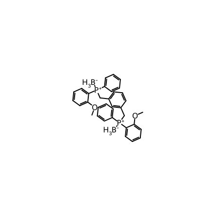 [BH3-][P+](Cc1cccc(C[P+]([BH3-])(c2ccccc2)c2ccccc2OC)c1)(c1ccccc1)c1ccccc1OC